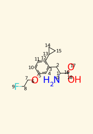 NC(Cc1cc(OCCF)ccc1C1CC1)C(=O)O